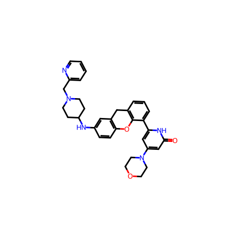 O=c1cc(N2CCOCC2)cc(-c2cccc3c2Oc2ccc(NC4CCN(Cc5ccccn5)CC4)cc2C3)[nH]1